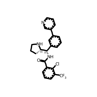 O=C(N[C@@H](c1cccc(-c2cccnc2)c1)[C@@H]1CCCN1)c1cccc(C(F)(F)F)c1Cl